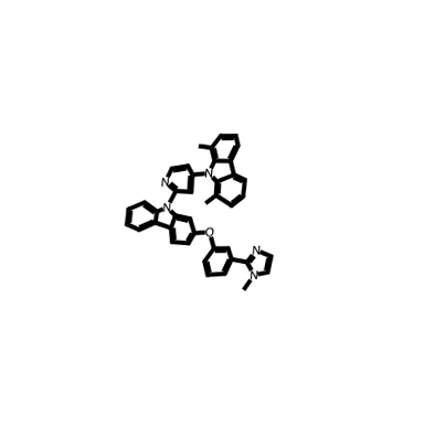 Cc1cccc2c3cccc(C)c3n(-c3ccnc(-n4c5ccccc5c5ccc(Oc6cccc(-c7nccn7C)c6)cc54)c3)c12